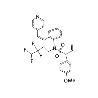 C=CC(c1ccc(OC)cc1)S(=O)(=O)N(CCC(F)(F)C(F)F)c1ccccc1C=Cc1ccncc1